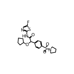 O=C(Nc1ncc(F)s1)C(OC1CCCC1)c1ccc(S(=O)(=O)N2CCCC2)cc1